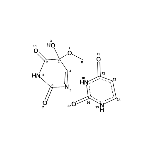 COC1(O)C=NC(=O)NC1=O.O=c1cc[nH]c(=O)[nH]1